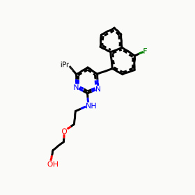 CC(C)c1cc(-c2ccc(F)c3ccccc23)nc(NCCOCCO)n1